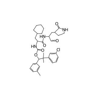 Cc1cccc(C(OC(=O)NC(CC2CCCCC2)C(=O)NC(C=O)CC2CCNC2=O)C(C)(C)c2cccc(Cl)c2)c1